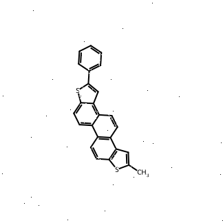 Cc1cc2c(ccc3c2ccc2c4cc(-c5ccccc5)sc4ccc23)s1